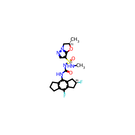 CN[S@](=O)(=NC(=O)Nc1c2c(c(F)c3c1C[C@@H](F)C3)CCC2)c1cnn2c1O[C@@H](C)C2